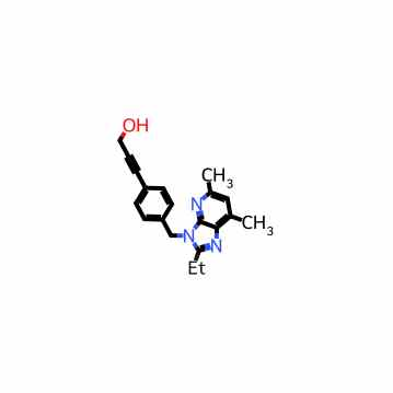 CCc1nc2c(C)cc(C)nc2n1Cc1ccc(C#CCO)cc1